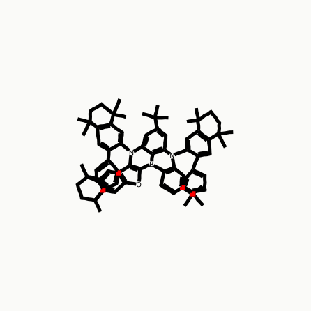 CC(C)(C)c1ccc2c(c1)N(c1cc3c(cc1-c1ccccc1)C(C)(C)CCC3(C)C)c1cc(C(C)(C)C)cc3c1B2c1oc2cc4c(cc2c1N3c1cc2c(cc1-c1ccccc1)C(C)(C)CCC2(C)C)C1(C)CCC4(C)CC1